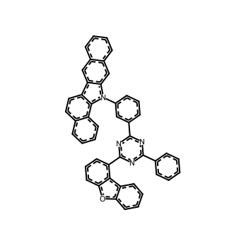 c1ccc(-c2nc(-c3cccc(-n4c5cc6ccccc6cc5c5ccc6ccccc6c54)c3)nc(-c3cccc4oc5ccccc5c34)n2)cc1